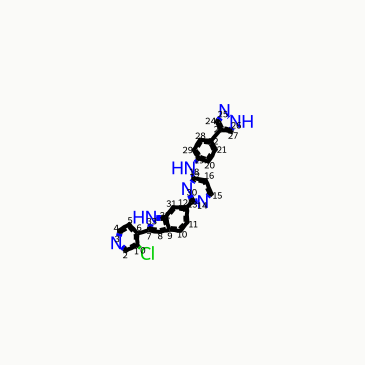 Clc1cnccc1-c1cc2ccc(-c3nccc(Nc4ccc(-c5cn[nH]c5)cc4)n3)cc2[nH]1